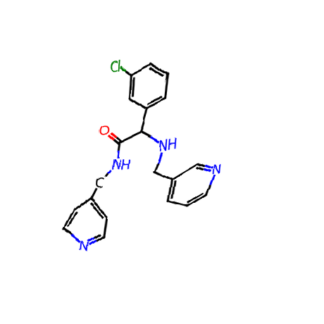 O=C(NCc1ccncc1)C(NCc1cccnc1)c1cccc(Cl)c1